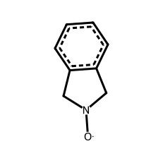 [O]N1Cc2ccccc2C1